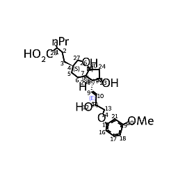 CCCC(CC[C@@H]1CC[C@@H]2[C@@H](/C=C/[C@@H](O)COc3cccc(OC)c3)[C@H](O)C[C@@H]2OC1)C(=O)O